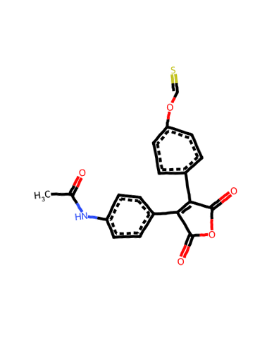 CC(=O)Nc1ccc(C2=C(c3ccc(OC=S)cc3)C(=O)OC2=O)cc1